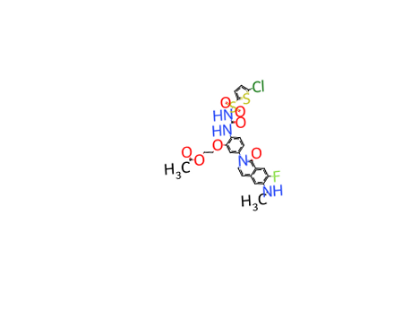 CNc1cc2ccn(-c3ccc(NC(=O)NS(=O)(=O)c4ccc(Cl)s4)c(OCCOC(C)=O)c3)c(=O)c2cc1F